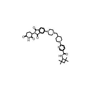 CC1(C)CC(C)(C)C1NC(=O)c1ccc(N2CCC(CN3CCN(c4ccc5c(c4)C(=O)N(C4CCC(=O)NC4=O)C5=O)CC3)CC2)nc1